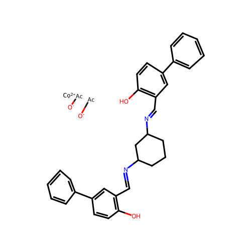 CC(=O)[O-].CC(=O)[O-].Oc1ccc(-c2ccccc2)cc1C=NC1CCCC(N=Cc2cc(-c3ccccc3)ccc2O)C1.[Co+2]